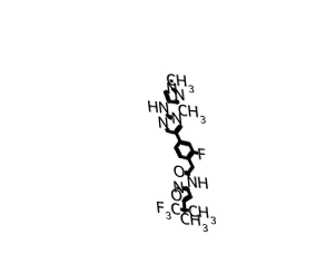 Cc1nn(C)cc1Nc1ncc(-c2ccc(CC(=O)Nc3cc(C(C)(C)C(F)(F)F)on3)c(F)c2)cn1